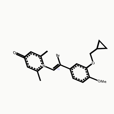 COc1ccc(/C(Br)=C/n2c(C)cc(=O)cc2C)cc1OCC1CC1